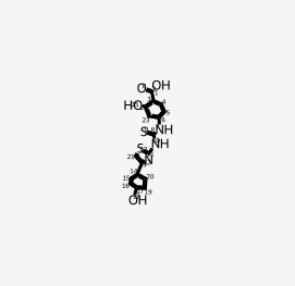 O=C(O)c1ccc(NC(=S)Nc2nc(-c3ccc(O)cc3)cs2)cc1O